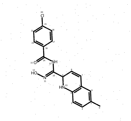 Cc1ccc2c(c1)C=CC(C(=NO)NC(=O)c1ccc(Cl)cc1)N2